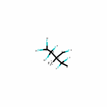 CC(F)(F)C(CF)(C(F)(F)F)C(F)(F)C(F)F